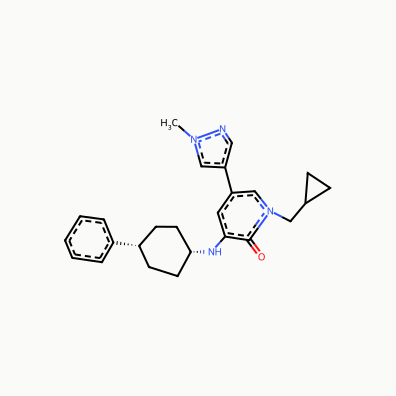 Cn1cc(-c2cc(N[C@H]3CC[C@@H](c4ccccc4)CC3)c(=O)n(CC3CC3)c2)cn1